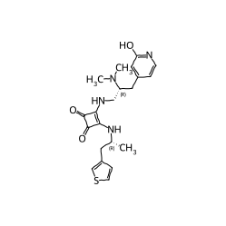 C[C@H](Cc1ccsc1)Nc1c(NC[C@@H](Cc2ccnc(O)c2)N(C)C)c(=O)c1=O